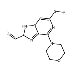 O=CC1N=C2C(N3CCOCC3)=NC(SF)=CN2N1